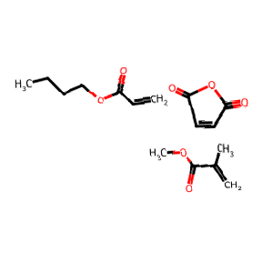 C=C(C)C(=O)OC.C=CC(=O)OCCCC.O=C1C=CC(=O)O1